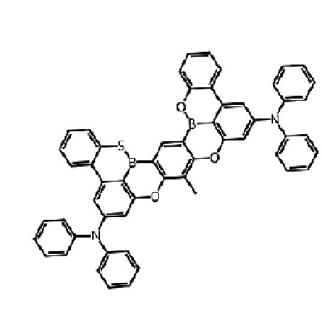 Cc1c2c(cc3c1Oc1cc(N(c4ccccc4)c4ccccc4)cc4c1B3Sc1ccccc1-4)B1Oc3ccccc3-c3cc(N(c4ccccc4)c4ccccc4)cc(c31)O2